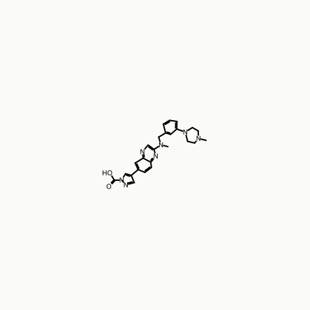 CN1CCN(c2cccc(CN(C)c3cnc4cc(-c5cnn(C(=O)O)c5)ccc4n3)c2)CC1